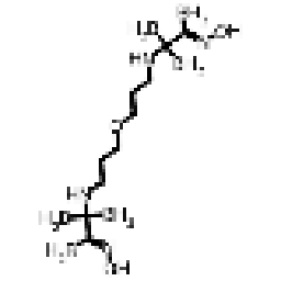 B/C(=N\O)C(B)(B)NCCCOCCCNC(B)(B)/C(B)=N/O